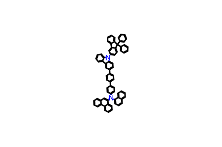 c1ccc(C2(c3ccccc3)c3ccccc3-c3cc(-n4c5ccccc5c5cc(-c6ccc(-c7ccc(N(c8cccc9ccccc89)c8cc9ccccc9c9ccccc89)cc7)cc6)ccc54)ccc32)cc1